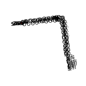 O.O.O.O.O.O=P([O-])([O-])[O-].O=P([O-])([O-])[O-].O=P([O-])([O-])[O-].O=P([O-])([O-])[O-].O=P([O-])([O-])[O-].O=P([O-])([O-])[O-].O=P([O-])([O-])[O-].O=P([O-])([O-])[O-].O=P([O-])([O-])[O-].O=[Si]([O-])[O-].O=[Si]([O-])[O-].O=[Si]([O-])[O-].O=[Si]([O-])[O-].O=[Si]([O-])[O-].O=[Si]([O-])[O-].O=[Si]([O-])[O-].O=[Si]([O-])[O-].O=[Si]([O-])[O-].[Al+3].[Al+3].[Al+3].[Al+3].[Al+3].[Ca+2].[Ca+2].[Ca+2].[Ca+2].[Ca+2].[Sr+2].[Sr+2].[Sr+2].[Sr+2].[Sr+2].[Zn+2].[Zn+2].[Zn+2].[Zn+2].[Zn+2]